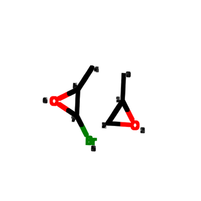 CC1CO1.CC1OC1Br